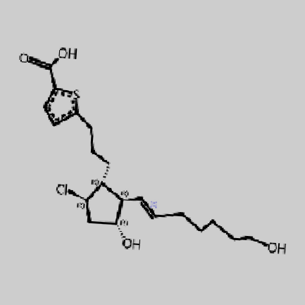 O=C(O)c1ccc(CCC[C@@H]2[C@@H](/C=C/CCCCCO)[C@H](O)C[C@H]2Cl)s1